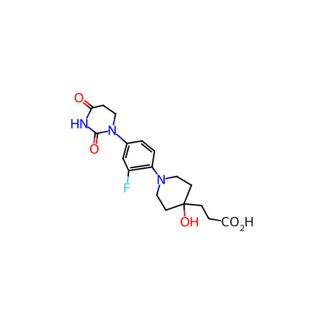 O=C(O)CCC1(O)CCN(c2ccc(N3CCC(=O)NC3=O)cc2F)CC1